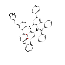 CCCCc1ccc(N2c3cc4sc5ccccc5c4cc3B3c4c(cc(-c5ccccc5)cc42)-c2ccccc2N3c2ccccc2)c(-c2ccccc2)c1